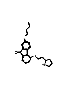 CCCCOc1ccc2c(c1)C(=O)c1cccc(OCCC3CCCN3)c1-2